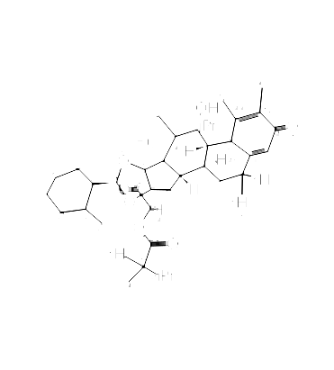 [2H]C1([2H])C[C@@H]2[C@H]([C@@H](O)C(C)[C@@]3(CC)[C@H]2C[C@H]2O[C@@H](C4CCCCC4C)O[C@]23C(=O)COC(=O)C([2H])(C)C(C)C)[C@]2(C(C)C)C1=CC(=O)C(C)=C2C